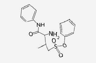 CC(CS(=O)(=O)Oc1ccccc1)C(N)C(=O)Nc1ccccc1